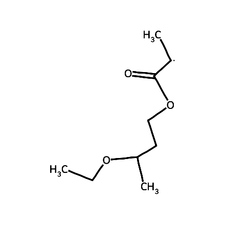 C[CH]C(=O)OCCC(C)OCC